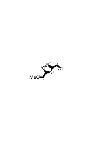 COCc1nc(CCl)no1